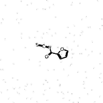 O=C(N=C=S)c1ccco1